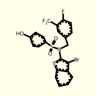 O=S(=O)(c1ccc(O)cc1)N(Cc1ccc(F)c(C(F)(F)F)c1)c1sc2ccccc2c1Br